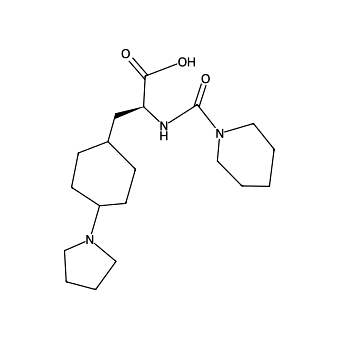 O=C(O)[C@H](CC1CCC(N2CCCC2)CC1)NC(=O)N1CCCCC1